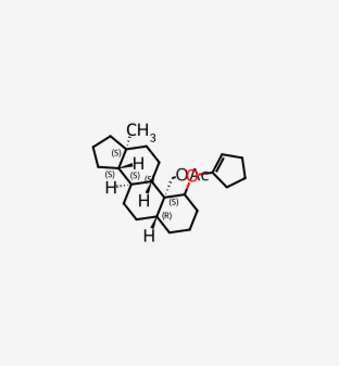 CC(=O)OC[C@]12C(OC3=CCCC3)CCC[C@@H]1CC[C@H]1[C@@H]3CCC[C@@]3(C)CC[C@@H]12